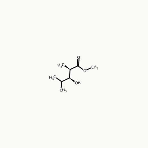 COC(=O)[C@H](C)[C@@H](O)C(C)C